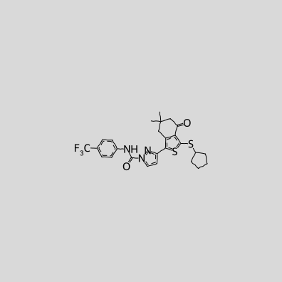 CC1(C)CC(=O)c2c(SC3CCCC3)sc(-c3ccn(C(=O)Nc4ccc(C(F)(F)F)cc4)n3)c2C1